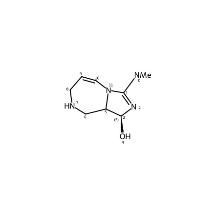 CNC1=N[C@@H](O)C2CNCC=CN12